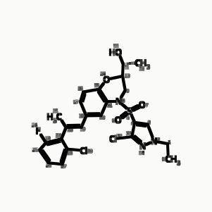 CCn1cc(S(=O)(=O)N2CC([C@@H](C)O)Oc3ccc(C=C(C)c4c(F)cccc4Cl)cc32)c(Cl)n1